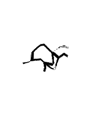 CCCC[C@@]12CC[C@H](C)C(C)(C1)OC2C